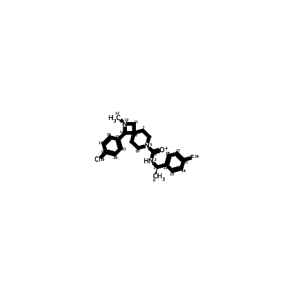 C[C@H](NC(=O)N1CCC2(CC1)CN(C)C2c1ccc(Cl)cc1)c1ccc(F)cc1